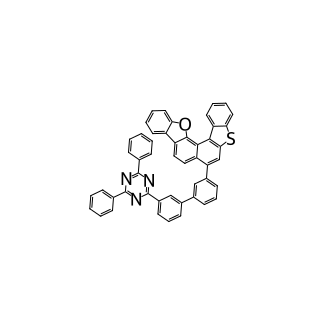 c1ccc(-c2nc(-c3ccccc3)nc(-c3cccc(-c4cccc(-c5cc6sc7ccccc7c6c6c5ccc5c7ccccc7oc56)c4)c3)n2)cc1